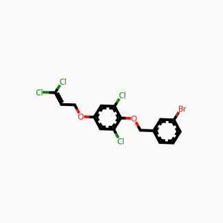 ClC(Cl)=CCOc1cc(Cl)c(OCc2cccc(Br)c2)c(Cl)c1